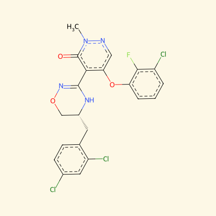 Cn1ncc(Oc2cccc(Cl)c2F)c(C2=NOC[C@@H](Cc3ccc(Cl)cc3Cl)N2)c1=O